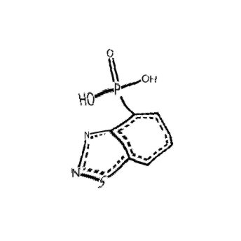 O=P(O)(O)c1cccc2snnc12